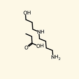 CCC(=O)O.NCCCCNCCCO